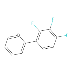 Fc1ccc(-c2bcccc2)c(F)c1F